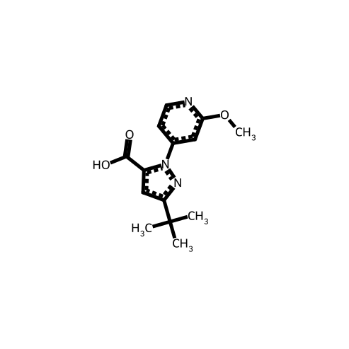 COc1cc(-n2nc(C(C)(C)C)cc2C(=O)O)ccn1